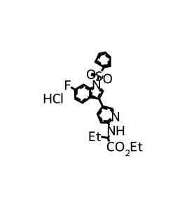 CCOC(=O)C(CC)Nc1ccc(-c2cn(S(=O)(=O)c3ccccc3)c3cc(F)ccc23)cn1.Cl